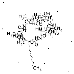 CCCCCCCCCC[C@H]1OC(=O)CNC(=O)[C@H](C(C)O[Si](C)(C)C(C)(C)C)NC(=O)[C@H](CO[Si](C)(C)C(C)(C)C)NC(=O)[C@H](CCC)NC(=O)[C@H](CC(C)C)N(C)C(=O)[C@@H]1C